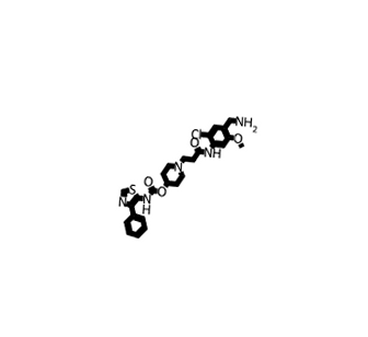 COc1cc(NC(=O)CCN2CCC(OC(=O)Nc3scnc3-c3ccccc3)CC2)c(Cl)cc1CN